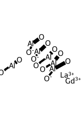 [Gd+3].[La+3].[O]=[Al][O-].[O]=[Al][O-].[O]=[Al][O-].[O]=[Al][O-].[O]=[Al][O-].[O]=[Al][O-]